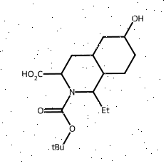 CCC1C2CCC(O)CC2CC(C(=O)O)N1C(=O)OC(C)(C)C